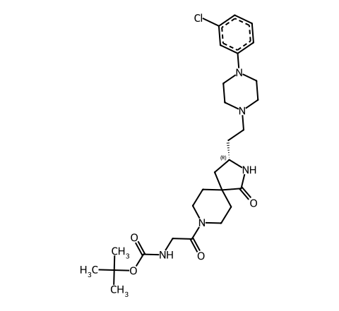 CC(C)(C)OC(=O)NCC(=O)N1CCC2(CC1)C[C@H](CCN1CCN(c3cccc(Cl)c3)CC1)NC2=O